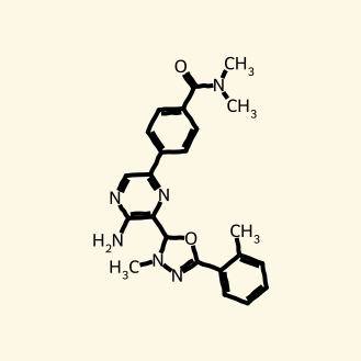 Cc1ccccc1C1=NN(C)C(c2nc(-c3ccc(C(=O)N(C)C)cc3)cnc2N)O1